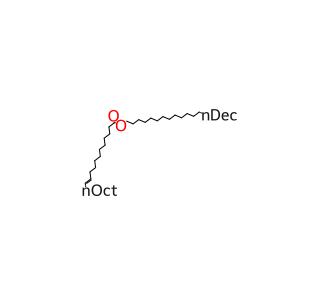 CCCCCCCCC=CCCCCCCCCCC(=O)OCCCCCCCCCCCCCCCCCCCCCCC